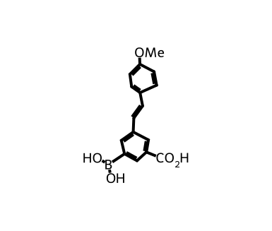 COc1ccc(/C=C/c2cc(B(O)O)cc(C(=O)O)c2)cc1